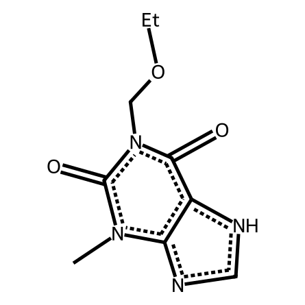 CCOCn1c(=O)c2[nH]cnc2n(C)c1=O